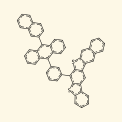 c1cc(-c2c3ccccc3c(-c3ccc4ccccc4c3)c3ccccc23)cc(-c2c3sc4ccccc4c3cc3c2sc2cc4ccccc4cc23)c1